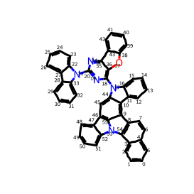 c1ccc2c(c1)ccc1c3c4c5ccccc5n(-c5nc(-n6c7ccccc7c7ccccc76)nc6c5oc5ccccc56)c4cc4c5ccccc5n(c21)c43